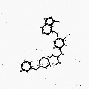 Cc1c[nH]c2nccc(Oc3ccc(CC(CN)CN4CCN(Cc5ccccc5)CC4)cc3F)c12